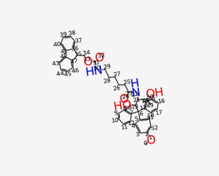 COc1ccc(C(c2ccccc2)(c2ccccc2)C(O)[C@H](NC(=O)CCCCCNC(=O)OCC2c3ccccc3-c3ccccc32)[C@H](C)O)cc1